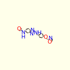 Cn1c(NCc2ccc(OCc3ncco3)cc2)nc2ccc(NC3COC3)cc21